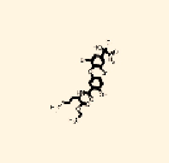 CCOC(=O)C(CCSC)NC(=O)c1cc(Oc2c(Br)cc(C(C)(O)[PH2]=O)cc2Br)ccc1O